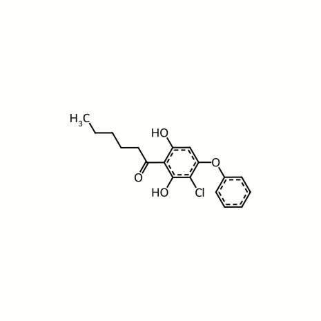 CCCCCC(=O)c1c(O)cc(Oc2ccccc2)c(Cl)c1O